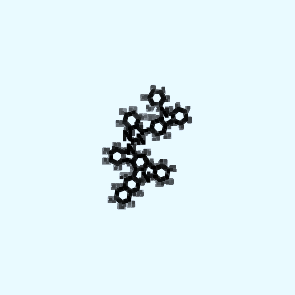 c1ccc(-n2c3ccccc3c3ccc(-c4nc(-n5c6ccccc6c6c7c8cc9ccccc9cc8n8c9ccccc9c(cc65)c78)nc5ccccc45)cc32)cc1